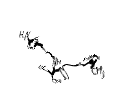 Cc1nc[nH]c1CSCCNC(NCCSCc1nnc(N)s1)=C(C#N)C#N